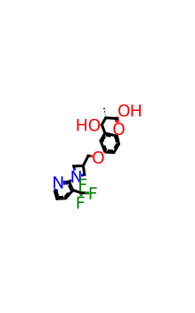 C[C@H](C(=O)O)[C@@H](O)c1cccc(OCC2CN(c3ncccc3C(F)(F)F)C2)c1